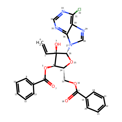 C=C[C@@]1(O)[C@H](OC(=O)c2ccccc2)[C@@H](COC(=O)c2ccccc2)O[C@H]1n1cnc2c(Cl)ncnc21